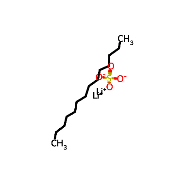 CCCCCCCCCCCCCC.O=S(=O)([O-])[O-].[Li+].[Li+]